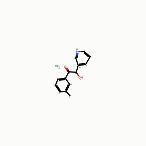 Cc1cccc(C(=O)C(O)c2cccnc2)c1.Cl